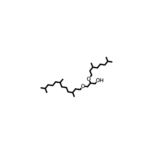 CC(C)CCCC(C)CCCC(C)CCOCC(CO)OCCC(C)CCCC(C)C